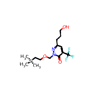 C[Si](C)(C)CCOCn1nc(CCCO)cc(C(F)(F)F)c1=O